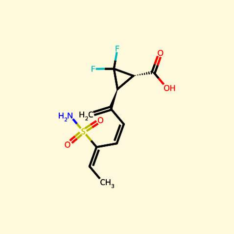 C=C(/C=C\C(=C/C)S(N)(=O)=O)[C@@H]1[C@@H](C(=O)O)C1(F)F